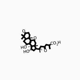 CC(CC(=O)C[C@@H](C)C1C[C@H](O)[C@@]2(C)C3=C(C(=O)C[C@]12C)[C@@]1(C)CCC(=O)C(C)(C)C1C[C@@H]3O)C(=O)O